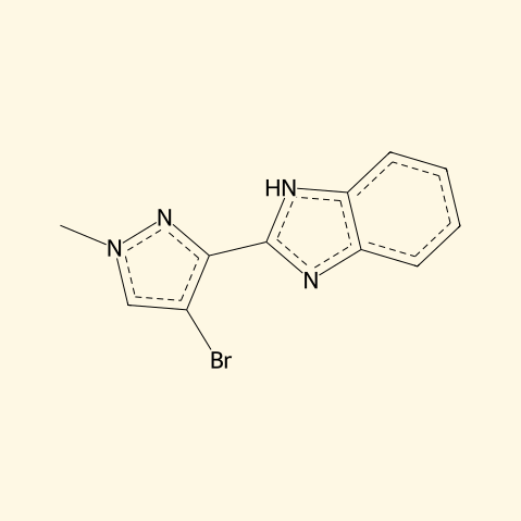 Cn1cc(Br)c(-c2nc3ccccc3[nH]2)n1